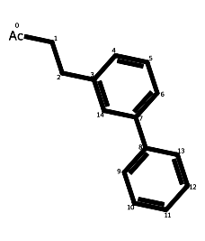 CC(=O)CCc1cccc(-c2ccccc2)c1